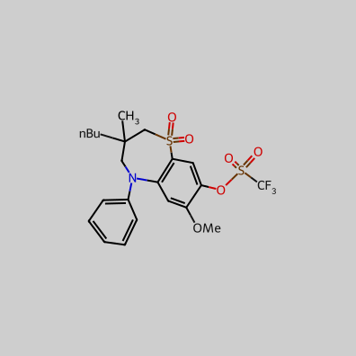 CCCCC1(C)CN(c2ccccc2)c2cc(OC)c(OS(=O)(=O)C(F)(F)F)cc2S(=O)(=O)C1